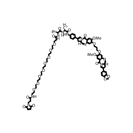 COc1cc2c(cc1OCCCOc1cc3c(cc1OC)C(=O)N1C=C(c4ccc5c(c4)OCO5)C[C@H]1C=N3)N=C[C@@H]1CC(c3ccc(NC(=O)[C@H](C)NC(=O)C(NC(=O)CCOCCOCCOCCOCCOCCOCCOCCOCCNC(=O)CCN4C(=O)C=CC4=O)C(C)C)cc3)=CN1C2=O